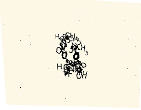 Cc1ncsc1-c1ccc(CNC(=O)[C@@H]2C[C@@H](O)CN2C(=O)[C@@H](NC(=O)C2(F)CC2)C(C)(C)SCC2CCC(C(=O)N3CCN(C(=O)OC(C)(C)C)CC3)CC2)cc1